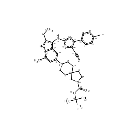 CCc1nn2c(C)cc(N3CCC4(CCN(C(=O)OC(C)(C)C)C4)CC3)cc2c1Nc1nc(-c2ccc(F)cc2)c(C#N)s1